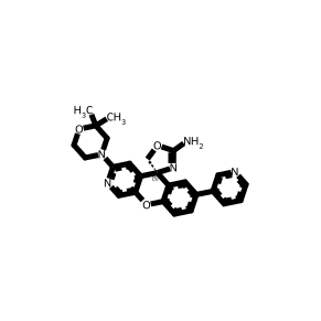 CC1(C)CN(c2cc3c(cn2)Oc2ccc(-c4cccnc4)cc2[C@@]32COC(N)=N2)CCO1